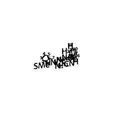 CSc1ccccc1CNc1ncc(C#N)c(NC[C@@]23CC4C[C@H](C2)C(=O)[C@@H](C4)C3)n1